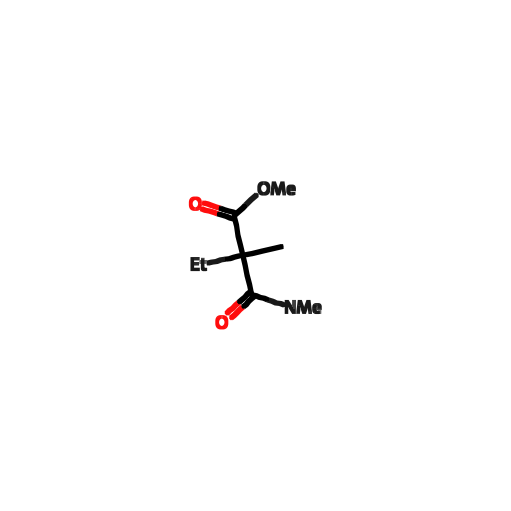 CCC(C)(C(=O)NC)C(=O)OC